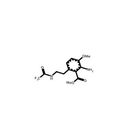 COC(=O)c1c(CCNC(=O)C(F)(F)F)ccc(OC)c1N